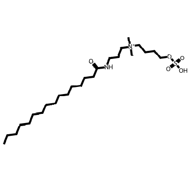 CCCCCCCCCCCCCCCC(=O)NCCC[N+](C)(C)CCCCOS(=O)(=O)O